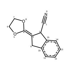 N#CC1C(=C2OCCO2)Cc2ccccc21